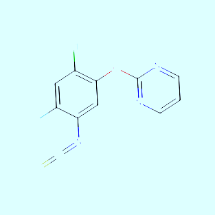 Fc1cc(Cl)c(Oc2ncccn2)cc1N=C=S